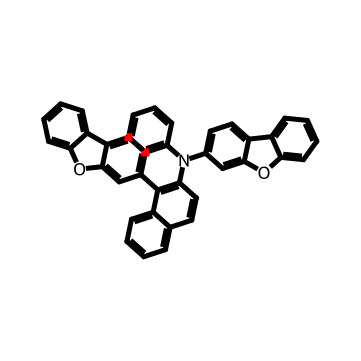 c1ccc(N(c2ccc3c(c2)oc2ccccc23)c2ccc3ccccc3c2-c2ccc3c(c2)oc2ccccc23)cc1